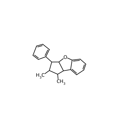 CC1C(C)C2c3ccccc3OC2C1c1ccccc1